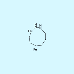 C1CCCNNNCC1.[Fe]